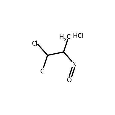 CC(N=O)C(Cl)Cl.Cl